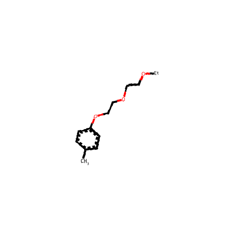 [CH2]COCCOCCOc1ccc(C)cc1